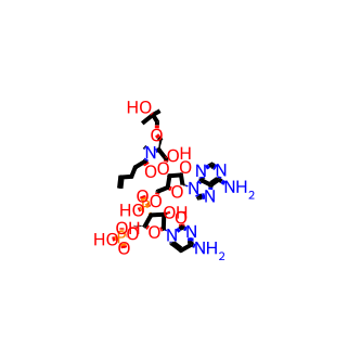 C=CCCC(=O)N(C)[C@@H](COCC(C)(C)O)C(=O)O[C@@H]1C(COP(=O)(O)[C@H]2[C@@H](O)[C@H](n3ccc(N)nc3=O)O[C@@H]2COP(=O)(O)O)O[C@@H](n2cnc3c(N)ncnc32)[C@@H]1O